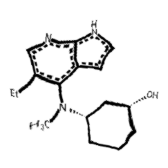 CCc1cnc2[nH]ccc2c1N(C)[C@H]1CCC[C@@H](O)C1